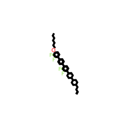 C=CCCC1CCC(C2CC=C(c3ccc(-c4ccc(-c5ccc(OCCCCCCC)c(F)c5F)cc4)c(F)c3F)CC2)CC1